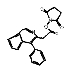 O=C(Cc1ncc2ccccc2c1-c1ccccc1)ON1C(=O)CCC1=O